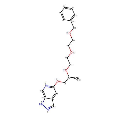 C[C@@H](COc1cc2cn[nH]c2cn1)OCCOCCOCc1ccccc1